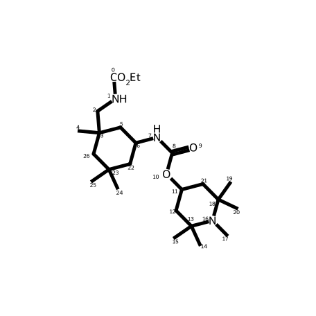 CCOC(=O)NCC1(C)CC(NC(=O)OC2CC(C)(C)N(C)C(C)(C)C2)CC(C)(C)C1